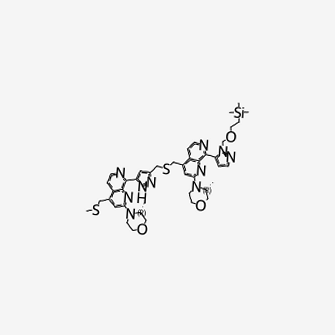 CSCc1cc(N2CCOC[C@H]2C)nc2c(-c3cc(CSCc4cc(N5CCOC[C@H]5C)nc5c(-c6ccnn6COCC[Si](C)(C)C)nccc45)n[nH]3)nccc12